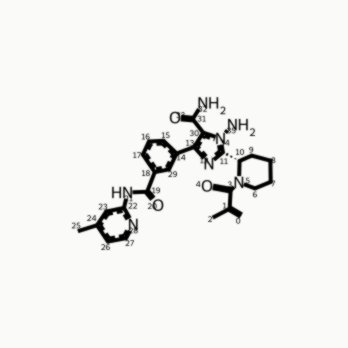 C=C(C)C(=O)N1CCCC[C@H]1c1nc(-c2cccc(C(=O)Nc3cc(C)ccn3)c2)c(C(N)=O)n1N